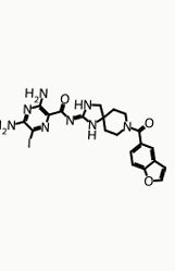 Nc1nc(N)c(C(=O)/N=C2\NCC3(CCN(C(=O)c4ccc5occc5c4)CC3)N2)nc1I